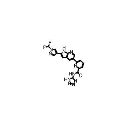 O=C(Nc1nnn[nH]1)c1cccc(-c2cnc3[nH]c(-c4cnn(C(F)F)c4)cc3c2)n1